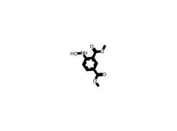 COC(=O)c1ccc(NO)c(C(=O)OC)c1